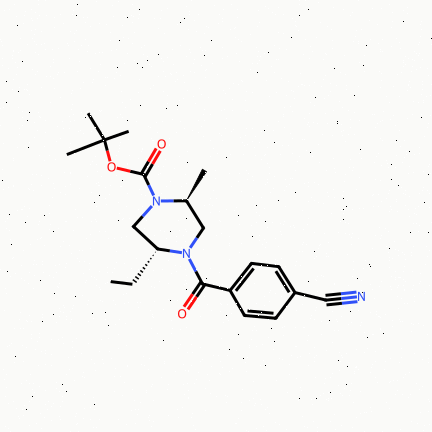 CC[C@@H]1CN(C(=O)OC(C)(C)C)[C@@H](C)CN1C(=O)c1ccc(C#N)cc1